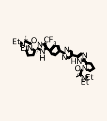 CCN(CC)[C@H](C)C(=O)N1CCC[C@H]1c1nc(C(F)(F)F)c(-c2ccc(-c3ncc(-c4cnc(C5CCCN5C(=O)[C@H](C)N(CC)CC)[nH]4)cn3)cc2)[nH]1